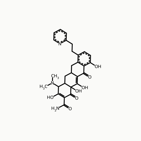 CN(C)C1C(O)=C(C(N)=O)C(=O)C2(O)C(O)=C3C(=O)c4c(O)ccc(CCc5ccccn5)c4CC3CC12